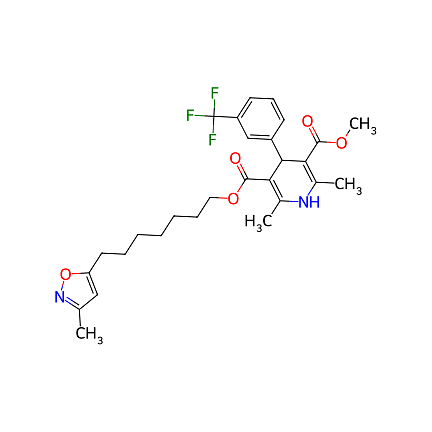 COC(=O)C1=C(C)NC(C)=C(C(=O)OCCCCCCCc2cc(C)no2)C1c1cccc(C(F)(F)F)c1